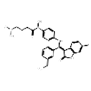 CN(C)CCCC(=O)N(C)c1ccc(NC(=C2C(=O)Nc3cc(F)ccc32)c2cccc(CC(=O)O)c2)cc1